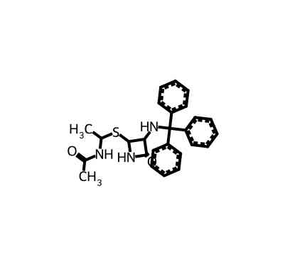 CC(=O)NC(C)SC1NC(=O)C1NC(c1ccccc1)(c1ccccc1)c1ccccc1